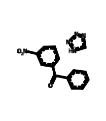 O=C(c1ccccc1)c1cccc([N+](=O)[O-])c1.c1nnn[nH]1